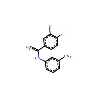 C=C(Nc1cccc(OC)c1)c1ccc(F)c(Br)c1